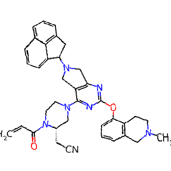 C=CC(=O)N1CCN(c2nc(Oc3cccc4c3CCN(C)C4)nc3c2CN(C2Cc4cccc5cccc2c45)C3)C[C@@H]1CC#N